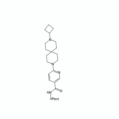 CCCCCNC(=O)c1ccc(N2CCC3(CC2)CCN(C2CCC2)CC3)nc1